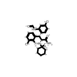 CC1(N[C@@H](C(N)=O)[C@@H](c2ccc(Cl)cc2NC=O)c2cccc(Cl)c2F)CCCCC1